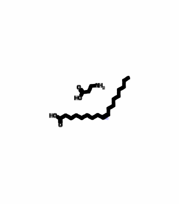 CCCCCCCC/C=C\CCCCCCCC(=O)O.NCCC(=O)O